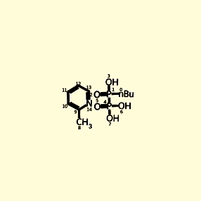 CCCCP(=O)(O)P(=O)(O)O.Cc1ccccn1